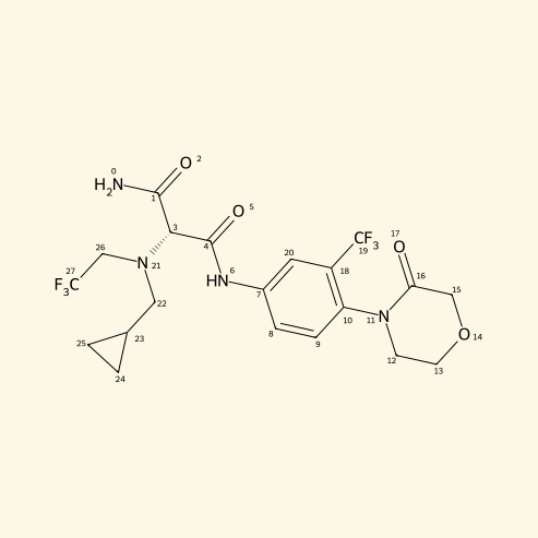 NC(=O)[C@H](C(=O)Nc1ccc(N2CCOCC2=O)c(C(F)(F)F)c1)N(CC1CC1)CC(F)(F)F